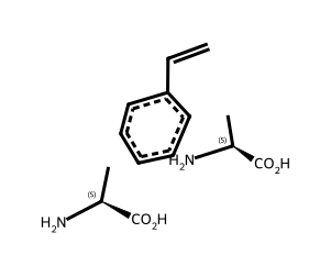 C=Cc1ccccc1.C[C@H](N)C(=O)O.C[C@H](N)C(=O)O